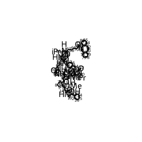 CC[C@H](C)[C@@H]([C@@H](CC(=O)N1CCC[C@H]1[C@H](OC)[C@@H](C)C(=O)N[C@H](C)[C@@H](O)c1ccccc1)OC)N(C)C(=O)[C@@H](NC(=O)[C@H](C(C)C)N(C)C(=O)OCc1ccc(NC(=O)[C@H](CCCNC(N)=O)NC(=O)[C@@H](NC(=O)CCCCC(=O)N2Cc3ccccc3C#Cc3ccccc32)C(C)C)cc1)C(C)C